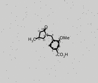 COc1cc(C(=O)O)ccc1CN1CC(C)CC1=O